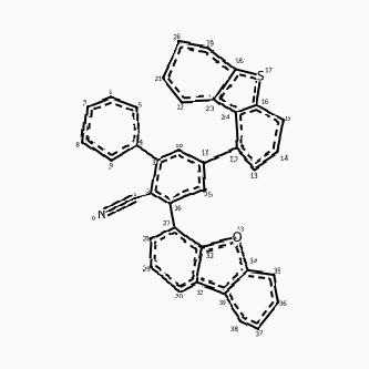 N#Cc1c(-c2ccccc2)cc(-c2cccc3sc4ccccc4c23)cc1-c1cccc2c1oc1ccccc12